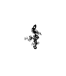 COc1cc(C(=O)NS(=O)(=O)c2ccccc2C)ccc1Cc1cn(CCC(N)=O)c2ccc(C(=O)NCC3CCCC3)cc12